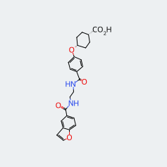 O=C(NCCNC(=O)c1ccc2occc2c1)c1ccc(O[C@H]2CC[C@@H](C(=O)O)CC2)cc1